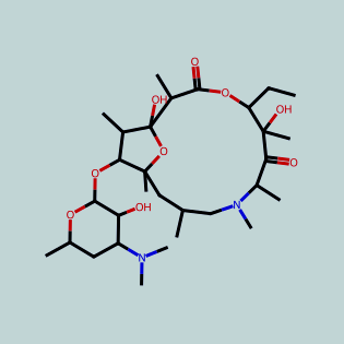 CCC1OC(=O)C(C)C2(O)OC(C)(CC(C)CN(C)C(C)C(=O)C1(C)O)C(OC1OC(C)CC(N(C)C)C1O)C2C